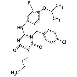 CCCCn1c(=O)nc(Nc2ccc(OC(C)C)c(F)c2)n(Cc2ccc(Cl)cc2)c1=O